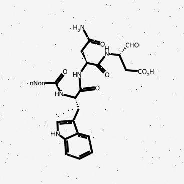 CCCCCCCCCC(=O)N[C@@H](Cc1c[nH]c2ccccc12)C(=O)N[C@@H](CC(N)=O)C(=O)N[C@H]([C]=O)CC(=O)O